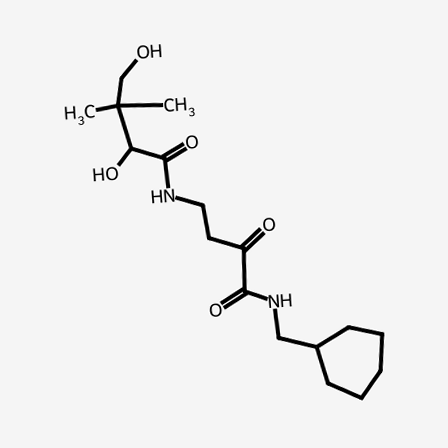 CC(C)(CO)C(O)C(=O)NCCC(=O)C(=O)NCC1CCCCC1